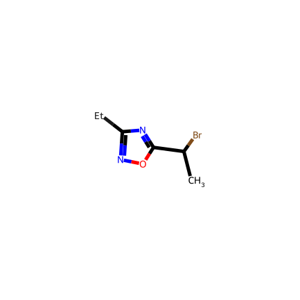 CCc1noc(C(C)Br)n1